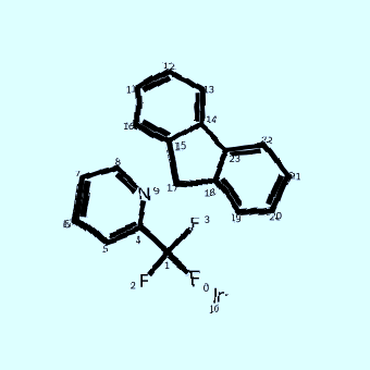 FC(F)(F)c1ccccn1.[Ir].c1ccc2c(c1)Cc1ccccc1-2